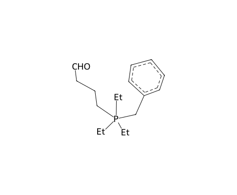 CCP(CC)(CC)(CCCC=O)Cc1ccccc1